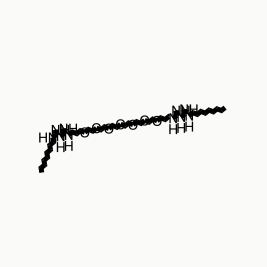 CCCCCCCCCNC(=N)NC(=N)NCCCOCCOCCOCCOCCOCCOCCOCCCNC(=N)NC(=N)NCCCCCCCCC